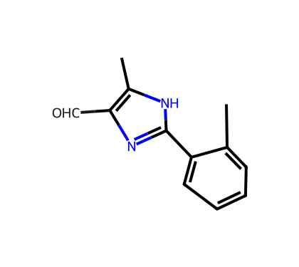 Cc1ccccc1-c1nc(C=O)c(C)[nH]1